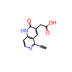 C#Cc1nccc2[nH]c(=O)c(CC(=O)O)cc12